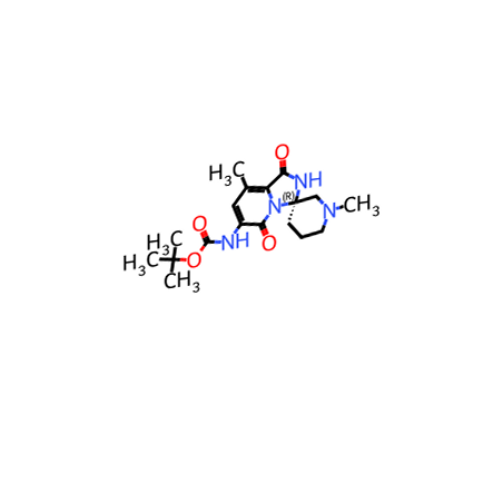 Cc1cc(NC(=O)OC(C)(C)C)c(=O)n2c1C(=O)N[C@]21CCCN(C)C1